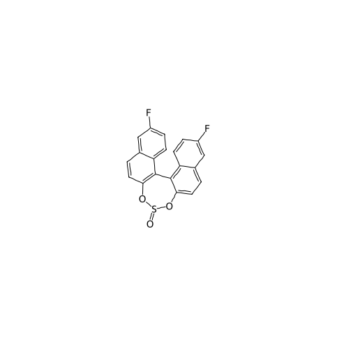 O=S1Oc2ccc3cc(F)ccc3c2-c2c(ccc3cc(F)ccc23)O1